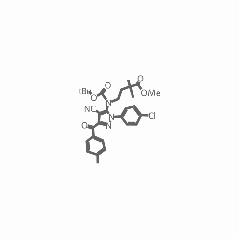 COC(=O)C(C)(C)CCN(C(=O)OC(C)(C)C)c1c(C#N)c(C(=O)c2ccc(C)cc2)nn1-c1ccc(Cl)cc1